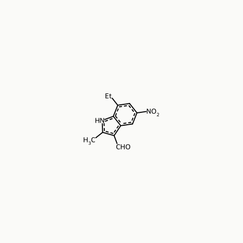 CCc1cc([N+](=O)[O-])cc2c(C=O)c(C)[nH]c12